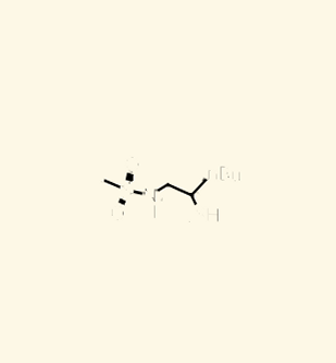 CCCCC(S)CNS(C)(=O)=O